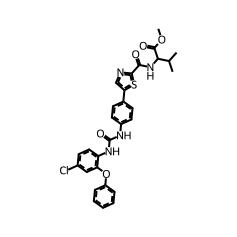 COC(=O)C(NC(=O)c1ncc(-c2ccc(NC(=O)Nc3ccc(Cl)cc3Oc3ccccc3)cc2)s1)C(C)C